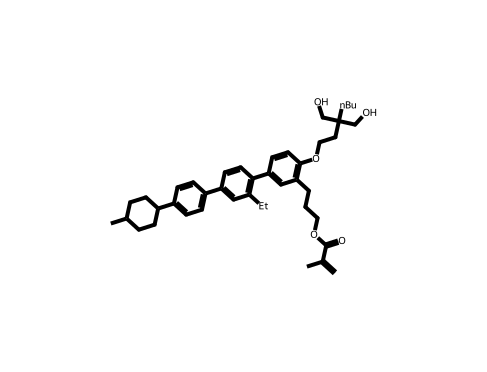 C=C(C)C(=O)OCCCc1cc(-c2ccc(-c3ccc(C4CCC(C)CC4)cc3)cc2CC)ccc1OCCC(CO)(CO)CCCC